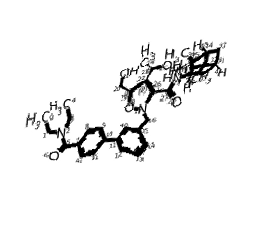 CCN(CC)C(=O)c1ccc(-c2cccc(CN3O[C@@H](CO)[C@@H]([C@H](C)O)[C@H]3C(=O)N[C@H]3C[C@H]4C[C@@H]([C@@H]3C)C4(C)C)c2)cc1